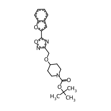 CC(C)(C)OC(=O)N1CCC(OCc2noc(-c3cc4ccccc4o3)n2)CC1